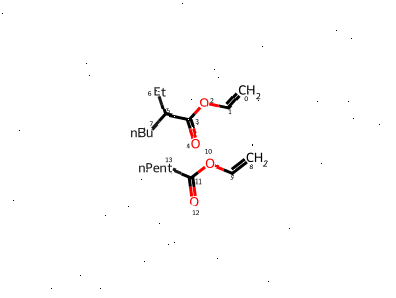 C=COC(=O)C(CC)CCCC.C=COC(=O)CCCCC